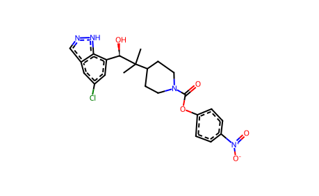 CC(C)(C1CCN(C(=O)Oc2ccc([N+](=O)[O-])cc2)CC1)[C@H](O)c1cc(Cl)cc2cn[nH]c12